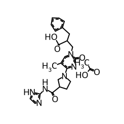 CC(=O)O.Cc1cn(CC(Cc2ccccc2)C(=O)O)c(=O)nc1N1CCC(C(=O)Nc2ncc[nH]2)C1